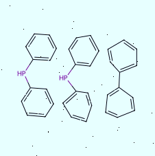 c1ccc(-c2ccccc2)cc1.c1ccc(Pc2ccccc2)cc1.c1ccc(Pc2ccccc2)cc1